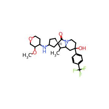 COC1COCCC1NC1CC[C@@]2(C1)C(=O)N1CCC(O)(c3ccc(C(F)(F)F)cc3)CC1C2C